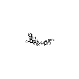 CC(C)(C)OC(=O)N1CCN(CCC2CSC(c3cc4cc(Cl)cc(NC5CCOCC5)c4[nH]3)=N2)CC1